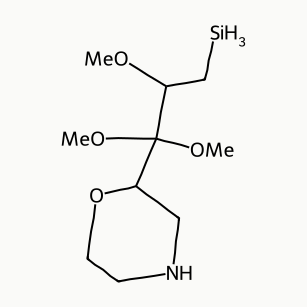 COC(C[SiH3])C(OC)(OC)C1CNCCO1